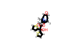 [2H]C([2H])([2H])[N+]1(C)C2CC(OC(=O)C(O)(c3cccs3)c3cccs3)CC1C1OC12